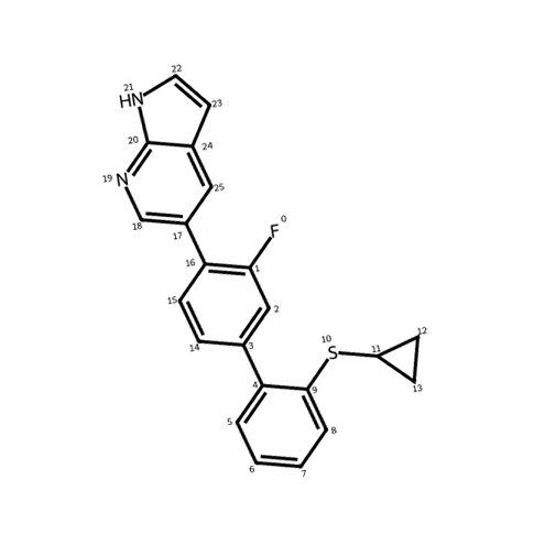 Fc1cc(-c2ccccc2SC2CC2)ccc1-c1cnc2[nH]ccc2c1